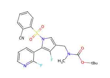 CN(Cc1cn(S(=O)(=O)c2ccccc2C#N)c(-c2cccnc2F)c1F)C(=O)OC(C)(C)C